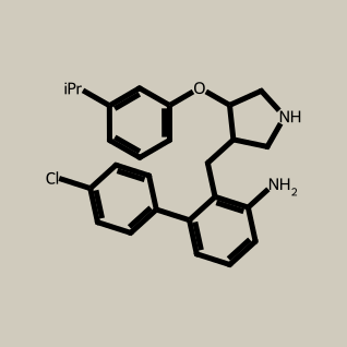 CC(C)c1cccc(OC2CNCC2Cc2c(N)cccc2-c2ccc(Cl)cc2)c1